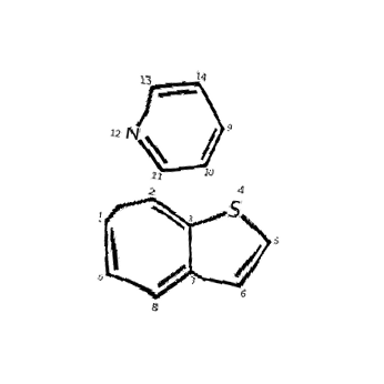 c1ccc2sccc2c1.c1ccncc1